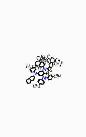 CC(C)(C)c1ccc(N2c3ccc(C(C)(C)C)cc3B3c4sc5cc6c(cc5c4N(c4ccc5c(c4)C(C)(C)CCC5(C)C)c4cc(N(c5ccccc5)c5ccc7ccccc7c5)cc2c43)C(C)(C)CCC6(C)C)cc1